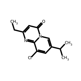 CCc1cc(=O)n2cc(C(C)C)cc(Cl)c2n1